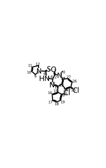 CN1C(=O)C(NC(=S)N2CC=CC2)N=C(c2ccccc2Cl)c2cc(Cl)ccc21